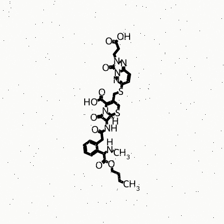 CCCCOC(=O)C(NC)c1ccccc1CC(=O)NC1C(=O)N2C(C(=O)O)=C(CSc3ccc4nn(CCC(=O)O)c(=O)n4n3)CS[C@@H]12